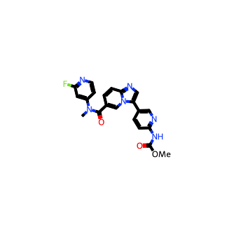 COC(=O)Nc1ccc(-c2cnc3ccc(C(=O)N(C)c4ccnc(F)c4)cn23)cn1